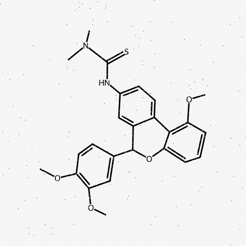 COc1ccc(C2Oc3cccc(OC)c3-c3ccc(NC(=S)N(C)C)cc32)cc1OC